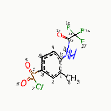 Cc1cc(S(=O)(=O)Cl)ccc1NC(=O)C(F)(F)F